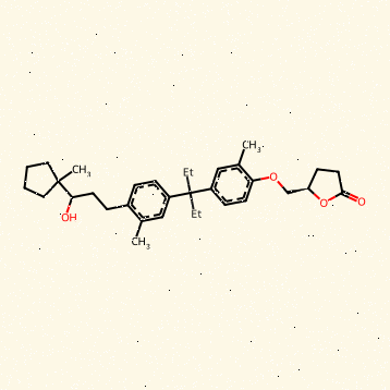 CCC(CC)(c1ccc(CCC(O)C2(C)CCCC2)c(C)c1)c1ccc(OC[C@H]2CCC(=O)O2)c(C)c1